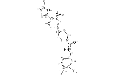 COc1cc(N2CCN(C(=O)NCc3ccc(C(F)(F)F)c(F)c3)CC2)ccc1-c1cnc(C)o1